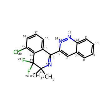 CC1(C)N=C(c2cc3ccccc3nn2)c2cccc(Cl)c2C1(F)F